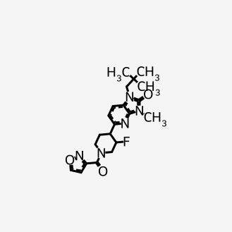 Cn1c(=O)n(CC(C)(C)C)c2ccc(C3CCN(C(=O)c4ccon4)CC3F)nc21